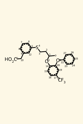 CC(CCSc1cccc(CC(=O)O)c1)Oc1ccc(C(F)(F)F)cc1Oc1ccccc1